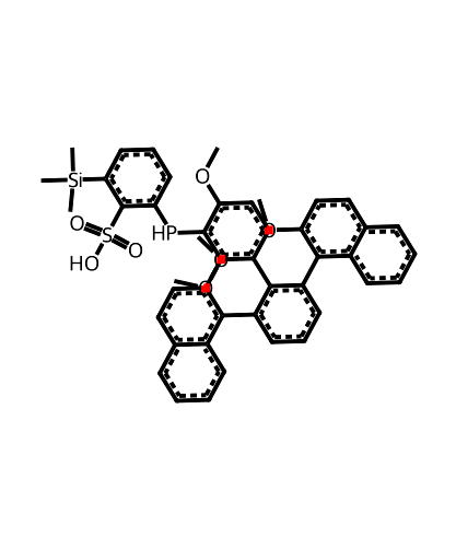 COc1ccc(-c2c(-c3c(OC)ccc4ccccc34)cccc2-c2c(OC)ccc3ccccc23)c(OC)c1Pc1cccc([Si](C)(C)C)c1S(=O)(=O)O